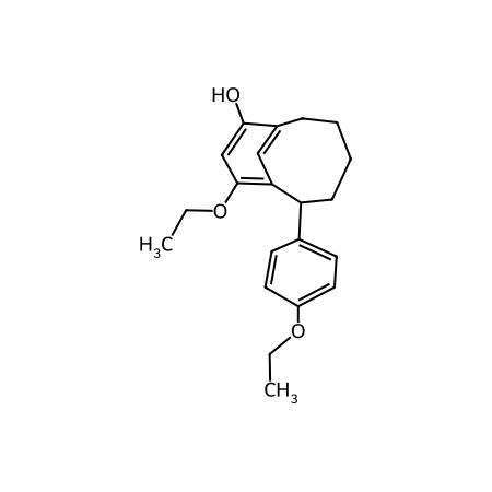 CCOc1ccc(C2CCCCc3cc2c(OCC)cc3O)cc1